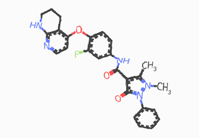 Cc1c(C(=O)Nc2ccc(Oc3ccnc4c3CCCN4)c(F)c2)c(=O)n(-c2ccccc2)n1C